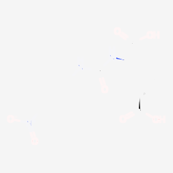 O=C(Nc1ccc([N+](=O)[O-])cc1)N[C@@]1(C(=O)O)CC[C@@H](C(=O)O)C1